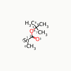 [CH3][Sn][C](=O)OC(C)(C)C